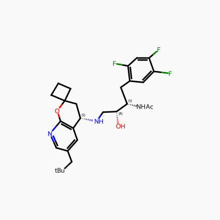 CC(=O)N[C@@H](Cc1cc(F)c(F)cc1F)[C@H](O)CN[C@H]1CC2(CCC2)Oc2ncc(CC(C)(C)C)cc21